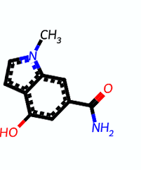 Cn1ccc2c(O)cc(C(N)=O)cc21